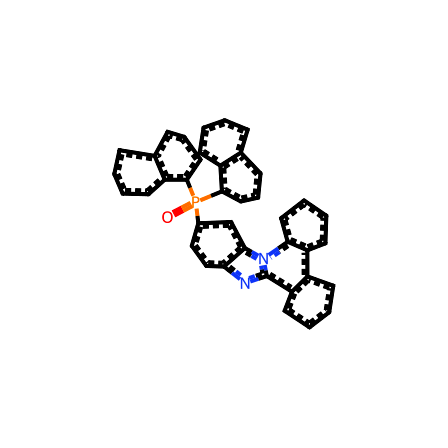 O=P(c1ccc2nc3c4ccccc4c4ccccc4n3c2c1)(c1cccc2ccccc12)c1cccc2ccccc12